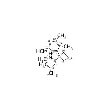 CNC(CC(C)C)C1(c2cccc(C)c2C)CCC1.Cl